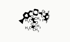 CC(C)(C)OC(=O)C(C)(C)Oc1cc(C2CC2)ccc1CN1CCN(C(=O)OC(C(F)(F)F)C(F)(F)F)CC1